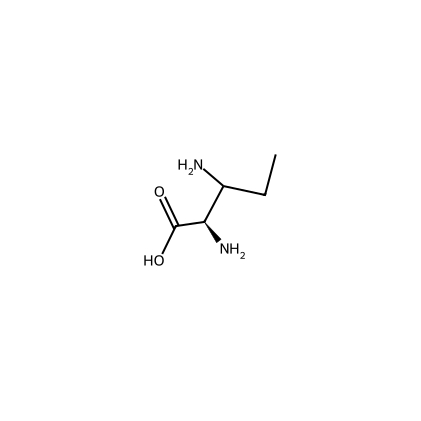 CCC(N)[C@@H](N)C(=O)O